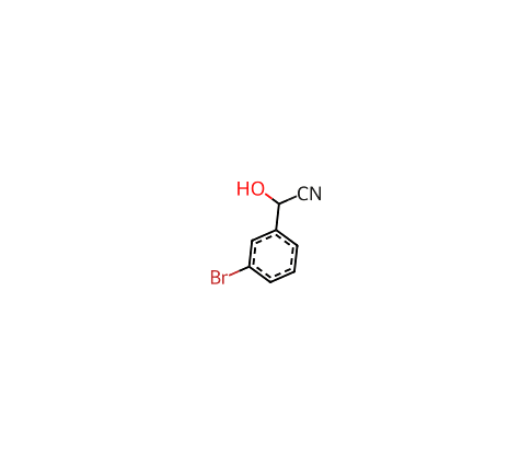 N#CC(O)c1cccc(Br)c1